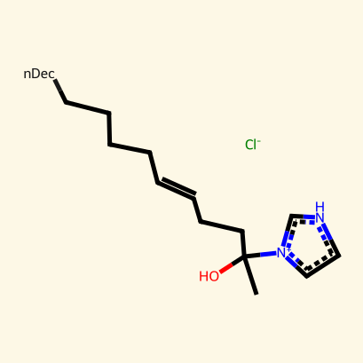 CCCCCCCCCCCCCCC=CCCC(C)(O)[n+]1cc[nH]c1.[Cl-]